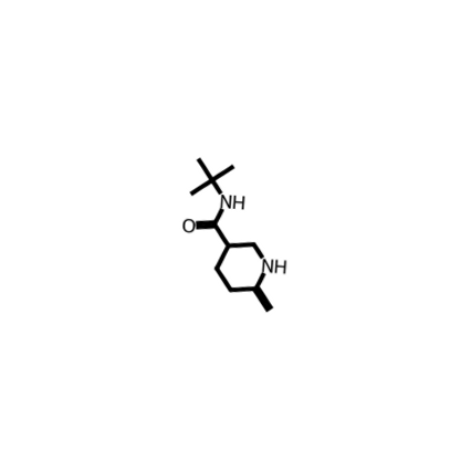 C=C1CCC(C(=O)NC(C)(C)C)CN1